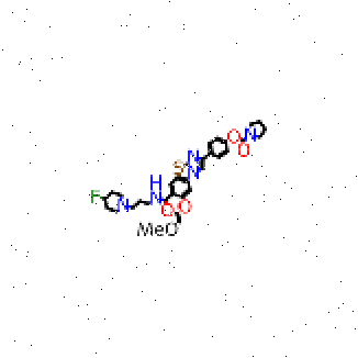 COCCOc1cc2c(cc1C(=O)NCCCN1CCC(F)CC1)sc1nc(-c3ccc(OC(=O)N4CCCC4)cc3)cn12